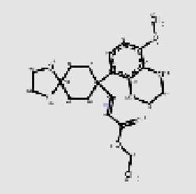 CCOC(=O)/C=C/C1(c2ccc(OC)c3c2OCCO3)CCC2(CC1)OCCO2